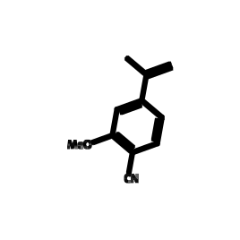 C=C(C)c1ccc(C#N)c(OC)c1